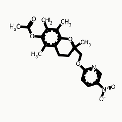 CC(=O)Oc1c(C)c(C)c2c(c1C)CCC(C)(COc1ccc([N+](=O)[O-])cn1)O2